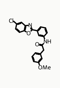 COc1cccc(CC(=O)Nc2cccc(-c3nc4cc(Cl)ccc4o3)c2)c1